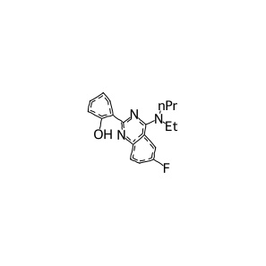 CCCN(CC)c1nc(-c2ccccc2O)nc2ccc(F)cc12